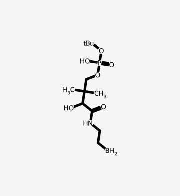 BCCNC(=O)C(O)C(C)(C)COP(=O)(O)OC(C)(C)C